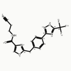 N#CCCNC(=O)c1coc(Cc2ccc(-c3noc(C(F)(F)F)n3)cc2)n1